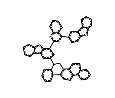 c1ccc2c(c1)-c1ccc3c(ccc4ccccc43)c1CC2c1cc(-c2nc(-c3ccc4oc5ccccc5c4c3)c3ccccc3n2)c2sc3ccccc3c2c1